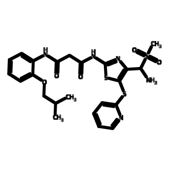 CC(C)COc1ccccc1NC(=O)CC(=O)Nc1nc(C(N)S(C)(=O)=O)c(Sc2ccccn2)s1